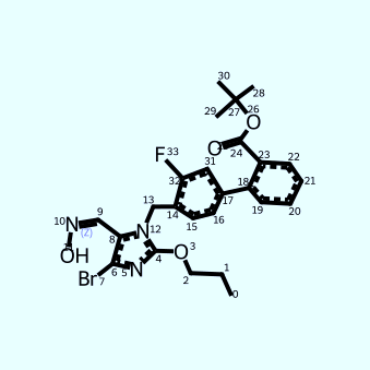 CCCOc1nc(Br)c(/C=N\O)n1Cc1ccc(-c2ccccc2C(=O)OC(C)(C)C)cc1F